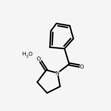 O.O=C1CCCN1C(=O)c1ccccc1